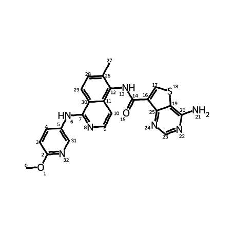 COc1ccc(Nc2nccc3c(NC(=O)c4csc5c(N)ncnc45)c(C)ccc23)cn1